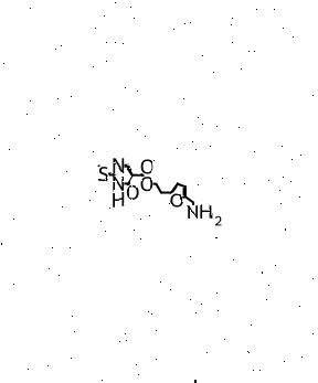 CSc1ncc(C(=O)OCCc2ccc(CN)o2)c(=O)[nH]1